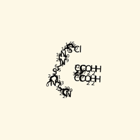 Cc1cc(SCCCN2CCN(Cc3ccc(Cl)s3)CC2)cc(CSc2ccncc2)n1.O=C(O)/C=C/C(=O)O.O=C(O)/C=C/C(=O)O